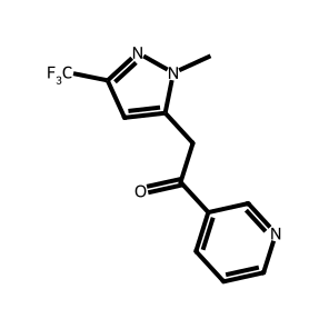 Cn1nc(C(F)(F)F)cc1CC(=O)c1cccnc1